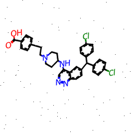 O=C(O)c1ccc(CCN2CCC(Nc3cnnc4ccc(C(c5ccc(Cl)cc5)c5ccc(Cl)cc5)cc34)CC2)cc1